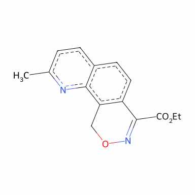 CCOC(=O)C1=NOCc2c1ccc1ccc(C)nc21